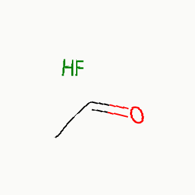 CC=O.F